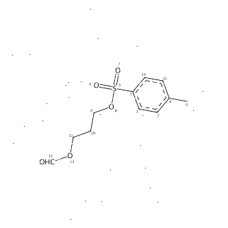 Cc1ccc(S(=O)(=O)OCCCOC=O)cc1